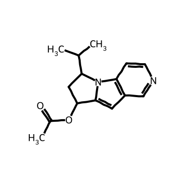 CC(=O)OC1CC(C(C)C)n2c1cc1cnccc12